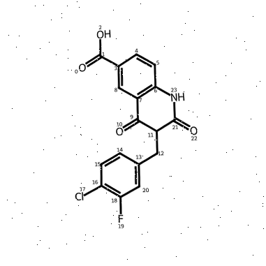 O=C(O)c1ccc2c(c1)C(=O)C(Cc1ccc(Cl)c(F)c1)C(=O)N2